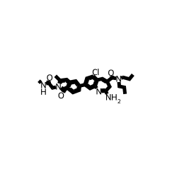 CCCN(CCC)C(=O)C1=Cc2c(Cl)cc(-c3ccc4c(=O)n(CC(=O)NC)c(C)cc4c3)cc2N=C(N)C1